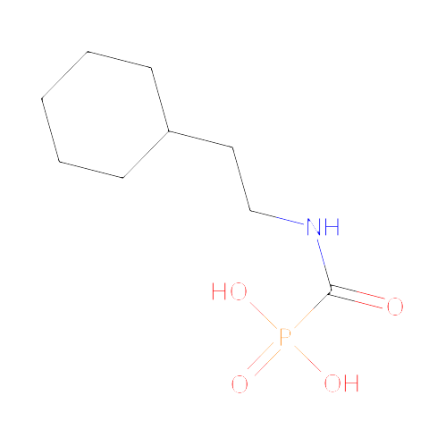 O=C(NCCC1CCCCC1)P(=O)(O)O